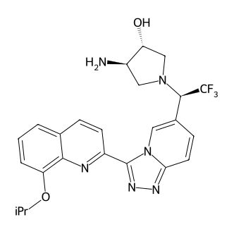 CC(C)Oc1cccc2ccc(-c3nnc4ccc([C@@H](N5C[C@@H](N)[C@H](O)C5)C(F)(F)F)cn34)nc12